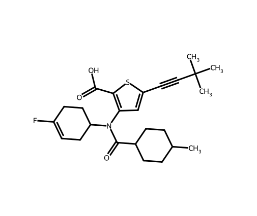 CC1CCC(C(=O)N(c2cc(C#CC(C)(C)C)sc2C(=O)O)C2CC=C(F)CC2)CC1